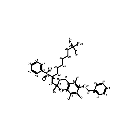 Cc1c(C)c2c(c(C)c1OCc1ccccc1)CC[C@@](C)(CC(CCCCCCC(F)(F)F)S(=O)(=O)c1ccccc1)O2